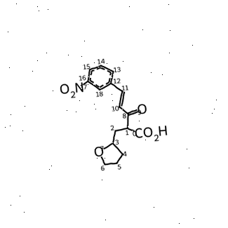 O=C(O)C(CC1CCCO1)C(=O)C=Cc1cccc([N+](=O)[O-])c1